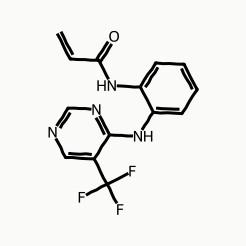 C=CC(=O)Nc1ccccc1Nc1ncncc1C(F)(F)F